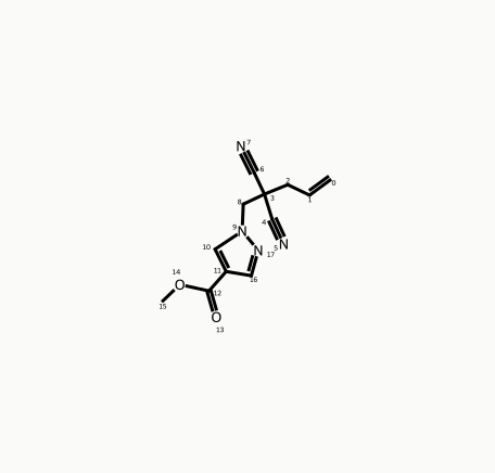 C=CCC(C#N)(C#N)Cn1cc(C(=O)OC)cn1